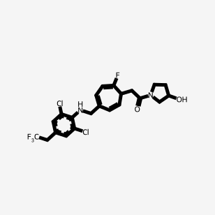 O=C(CC1C=CC(CNc2c(Cl)cc(CC(F)(F)F)cc2Cl)=CC=C1F)N1CCC(O)C1